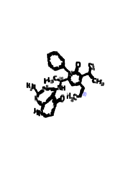 C=C(Cl)c1c(/C=C\C)cc([C@H](C)Nc2nc(N)nc3[nH]ccc(=O)c23)n(-c2ccccc2)c1=O